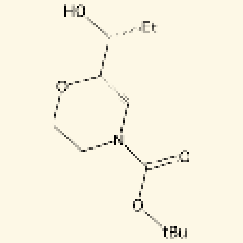 CC[C@@H](O)[C@@H]1CN(C(=O)OC(C)(C)C)CCO1